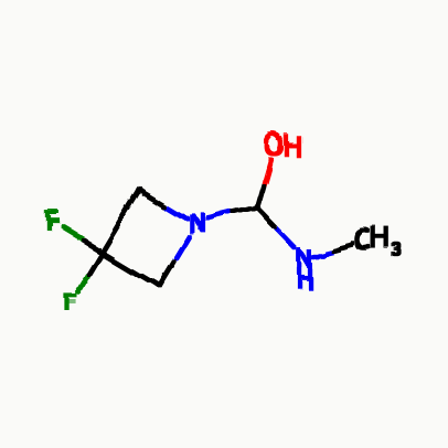 CNC(O)N1CC(F)(F)C1